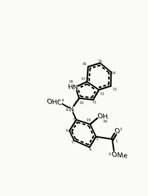 COC(=O)c1cccc(N(C=O)c2cc3ccccc3[nH]2)c1O